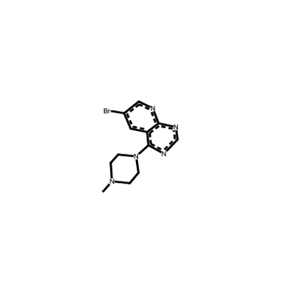 CN1CCN(c2ncnc3ncc(Br)cc23)CC1